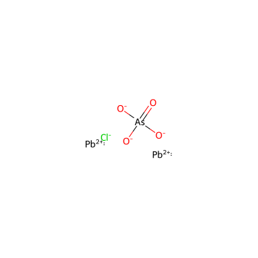 O=[As]([O-])([O-])[O-].[Cl-].[Pb+2].[Pb+2]